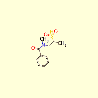 CC(CN(C)C(=O)c1cc[c]cc1)[SH](=O)=O